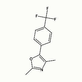 Cc1nc(C)c(-c2ccc(C(F)(F)F)cc2)o1